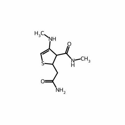 CNC(=O)C1C(NC)=CSC1CC(N)=O